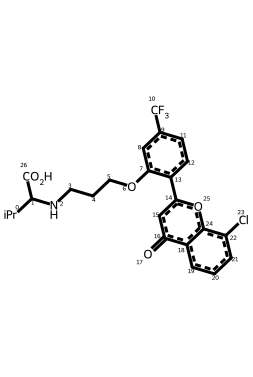 CC(C)C(NCCCOc1cc(C(F)(F)F)ccc1-c1cc(=O)c2cccc(Cl)c2o1)C(=O)O